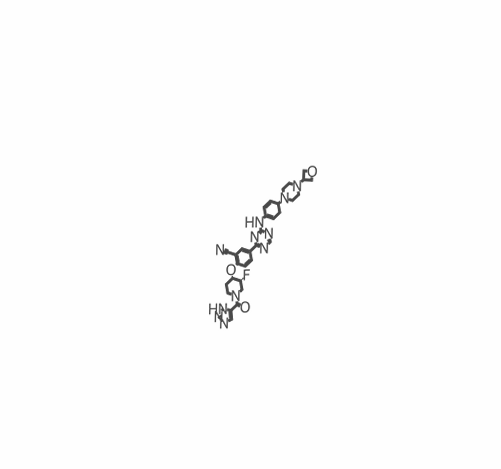 N#Cc1cc(-c2ncnc(NC3=CCC(N4CCN(C5COC5)CC4)C=C3)n2)ccc1O[C@H]1CCN(C(=O)c2cnn[nH]2)C[C@H]1F